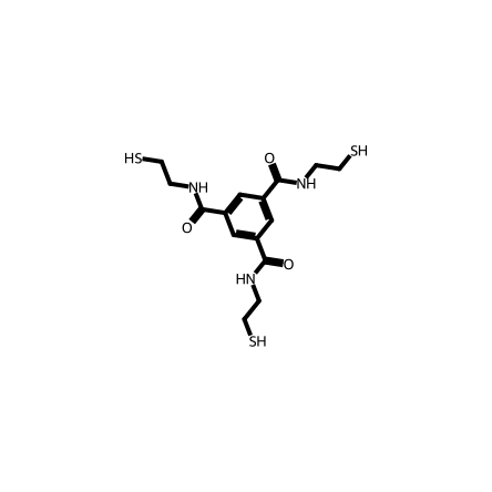 O=C(NCCS)c1cc(C(=O)NCCS)cc(C(=O)NCCS)c1